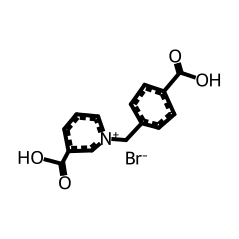 O=C(O)c1ccc(C[n+]2cccc(C(=O)O)c2)cc1.[Br-]